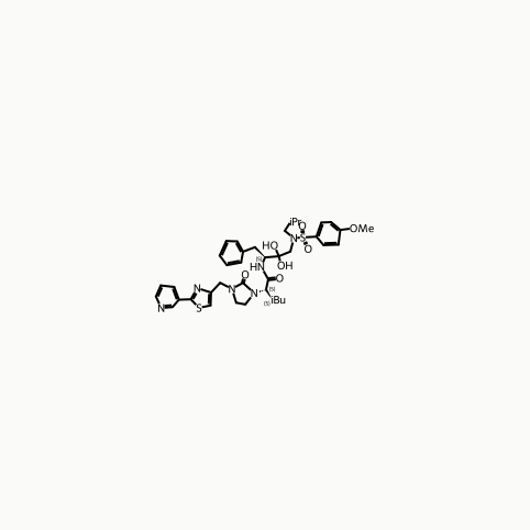 CC[C@H](C)[C@@H](C(=O)N[C@@H](Cc1ccccc1)C(O)(O)CN(CC(C)C)S(=O)(=O)c1ccc(OC)cc1)N1CCN(Cc2csc(-c3cccnc3)n2)C1=O